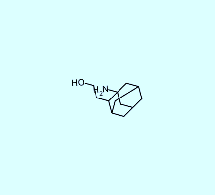 NC12CC3CC(CC(C3)C1CCO)C2